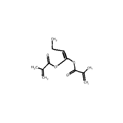 C=C(C)C(=O)OC(=CCC)OC(=O)C(=C)C